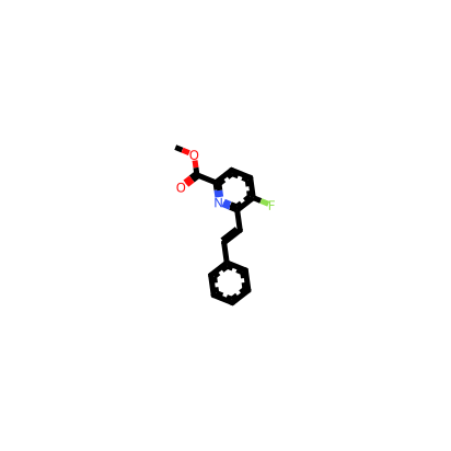 COC(=O)c1ccc(F)c(C=Cc2ccccc2)n1